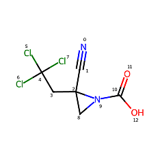 N#CC1(CC(Cl)(Cl)Cl)CN1C(=O)O